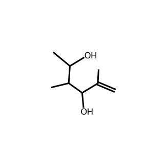 C=C(C)C(O)C(C)C(C)O